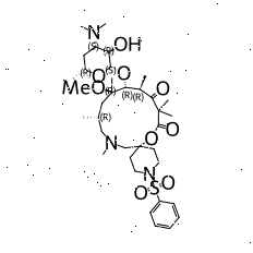 CO[C@]1(C)C[C@@H](C)CN(C)CC2(CCN(S(=O)(=O)c3ccccc3)CC2)OC(=O)C(C)(C)C(=O)[C@H](C)[C@H]1O[C@@H]1O[C@H](C)C[C@H](N(C)C)[C@H]1O